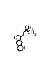 CN(C)CCC1COc2cc3cccnc3cc21